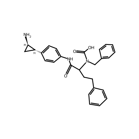 N[C@@H]1C[C@H]1c1ccc(NC(=O)C(CCc2ccccc2)N(Cc2ccccc2)C(=O)O)cc1